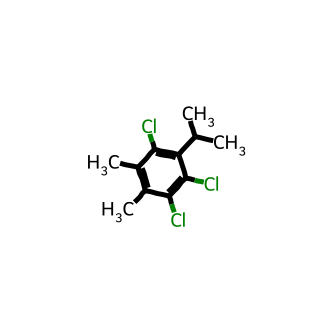 Cc1c(C)c(Cl)c(C(C)C)c(Cl)c1Cl